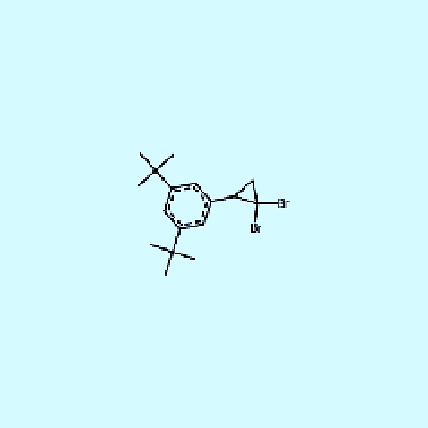 CC(C)(C)c1cc(C2CC2(Br)Br)cc(C(C)(C)C)c1